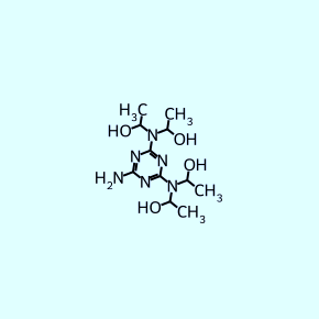 CC(O)N(c1nc(N)nc(N(C(C)O)C(C)O)n1)C(C)O